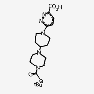 CC(C)(C)OC(=O)N1CCN(C2CCN(c3ccc(C(=O)O)nn3)CC2)CC1